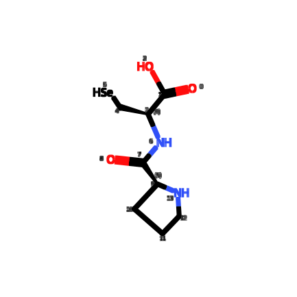 O=C(O)[C@H](C[SeH])NC(=O)[C@@H]1CCCN1